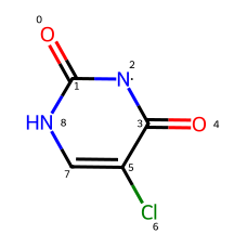 O=C1[N]C(=O)C(Cl)=CN1